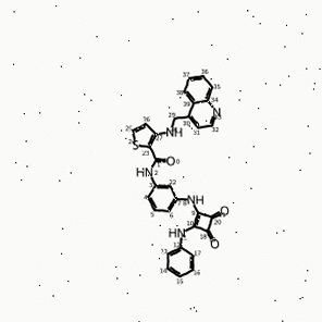 O=C(Nc1cccc(Nc2c(Nc3ccccc3)c(=O)c2=O)c1)c1sccc1NCc1ccnc2ccccc12